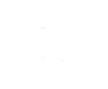 COC(=O)C(CC(C)C)CC(C)C